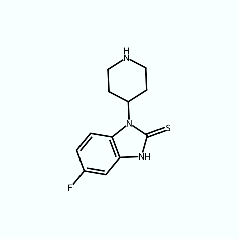 Fc1ccc2c(c1)[nH]c(=S)n2C1CCNCC1